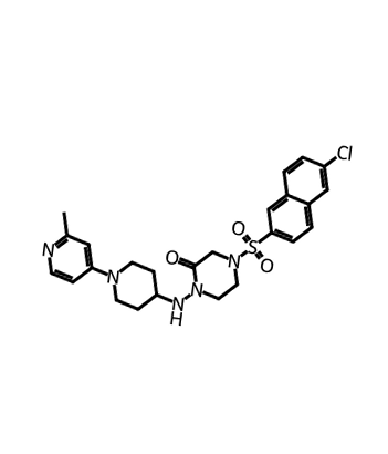 Cc1cc(N2CCC(NN3CCN(S(=O)(=O)c4ccc5cc(Cl)ccc5c4)CC3=O)CC2)ccn1